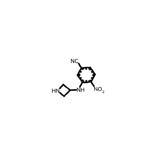 N#Cc1ccc([N+](=O)[O-])c(NC2CNC2)c1